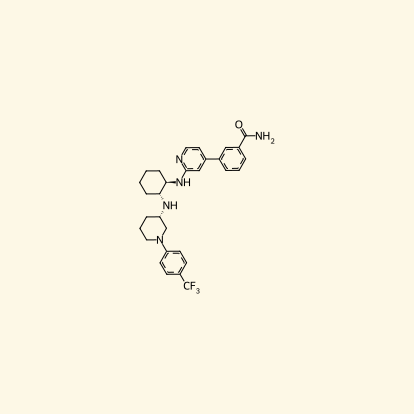 NC(=O)c1cccc(-c2ccnc(N[C@@H]3CCCC[C@H]3N[C@H]3CCCN(c4ccc(C(F)(F)F)cc4)C3)c2)c1